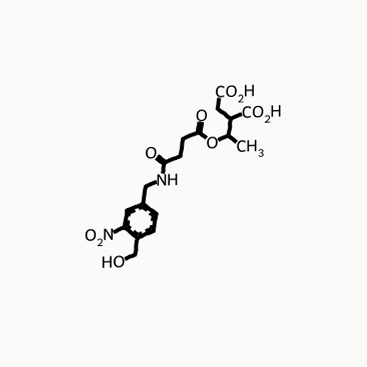 CC(OC(=O)CCC(=O)NCc1ccc(CO)c([N+](=O)[O-])c1)C(CC(=O)O)C(=O)O